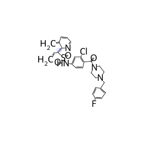 C=C/C(=c1/ncccc1=C)S(=O)(=O)Nc1ccc(C(=O)N2CCN(Cc3ccc(F)cc3)CC2)c(Cl)c1